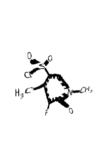 Cc1c(S(=O)(=O)Cl)cn(C)c(=O)c1F